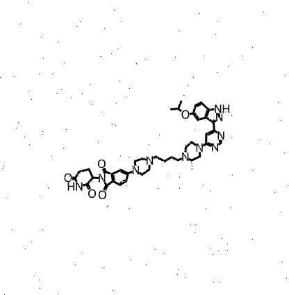 CC(C)Oc1ccc2[nH]nc(-c3cc(N4CCN(CCCCN5CCN(c6ccc7c(c6)C(=O)N(C6CCC(=O)NC6=O)C7=O)CC5)[C@@H](C)C4)ncn3)c2c1